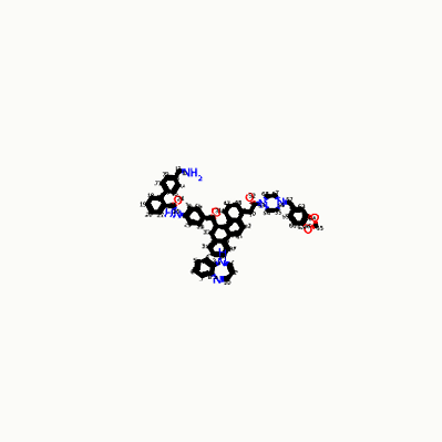 C1=CNc2ccccc2N=C1.NCc1ccc(-c2ccccc2C(=O)Nc2ccc(C(=O)C3Cc4ccccc4-c4ccc5c(c43)CCCC5CC(=O)N3CCN(Cc4ccc5c(c4)OCO5)CC3)cc2)cc1